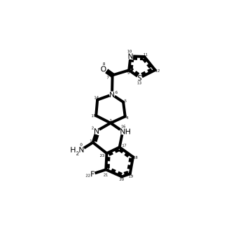 NC1=NC2(CCN(C(=O)c3nccs3)CC2)Nc2cccc(F)c21